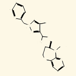 CN1C(=O)[C@@H](NC(O)c2nn(Cc3ccccn3)cc2F)COc2cccnc21